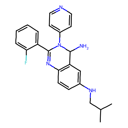 CC(C)CNc1ccc2c(c1)C(N)N(c1ccncc1)C(c1ccccc1F)=N2